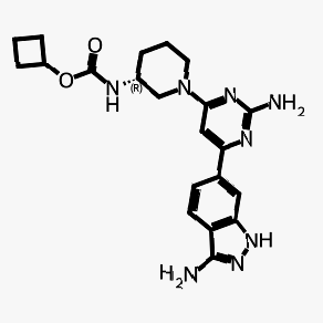 Nc1nc(-c2ccc3c(N)n[nH]c3c2)cc(N2CCC[C@@H](NC(=O)OC3CCC3)C2)n1